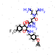 NCCN(CCN)C(=O)C[C@H](N)C(=O)NC(C(=O)NCc1ccc(OC2CC2)cc1)[C@H](O)c1ccc(C(F)(F)F)cc1